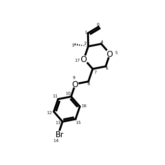 C=C[C@@]1(C)COCC(COc2ccc(Br)cc2)O1